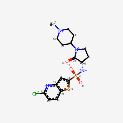 CC(C)N1CCC(N2CC[C@H](NS(=O)(=O)c3cc4nc(Cl)ccc4s3)C2=O)CC1